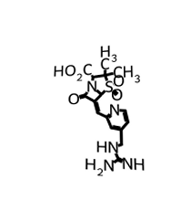 CC1(C)[C@H](C(=O)O)N2C(=O)/C(=C/c3cc(CNC(=N)N)ccn3)C2S1(=O)=O